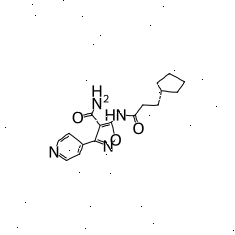 NC(=O)c1c(-c2ccncc2)noc1NC(=O)CCC1CCCC1